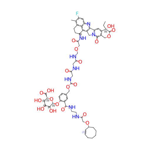 CC[C@@]1(O)C(=O)OCc2c1cc1n(c2=O)Cc2c-1nc1cc(F)c(C)c3c1c2[C@@H](NC(=O)COCNC(=O)CNC(=O)CNC(=O)OCc1ccc(O[C@@H]2O[C@H](C(=O)O)[C@@H](O)[C@H](O)[C@H]2O)c(C(=O)NCCNC(=O)COC2/C=C\CCCCC2)c1)CC3